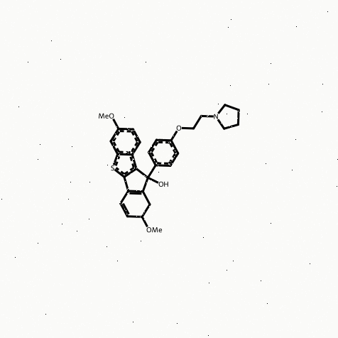 COc1ccc2c3c(sc2c1)C1=C(CC(OC)C=C1)C3(O)c1ccc(OCCN2CCCC2)cc1